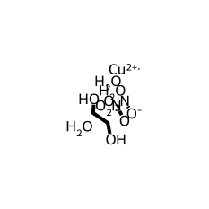 O.O.O.O=[N+]([O-])[O-].O=[N+]([O-])[O-].OCCO.[Cu+2]